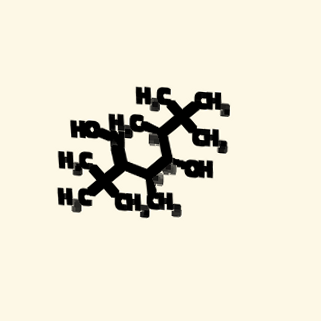 C[C@H]([C@H](O)[C@@H](C)C(=NO)C(C)(C)C)C(C)(C)C